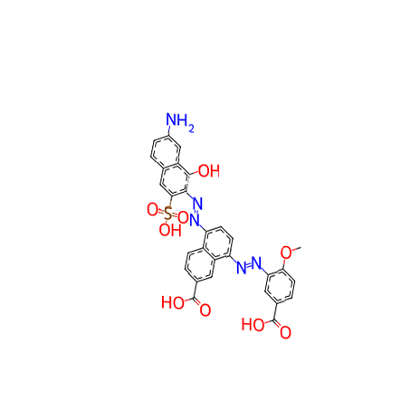 COc1ccc(C(=O)O)cc1/N=N/c1ccc(/N=N/c2c(S(=O)(=O)O)cc3ccc(N)cc3c2O)c2ccc(C(=O)O)cc12